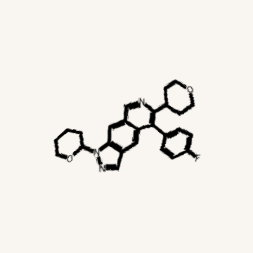 Fc1ccc(-c2c(C3CCOCC3)ncc3cc4c(cnn4C4CCCCO4)cc23)cc1